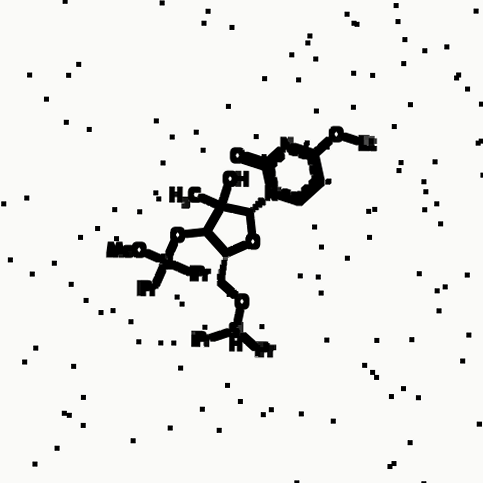 CCOc1ccn([C@@H]2O[C@H](CO[SiH](C(C)C)C(C)C)C(O[Si](OC)(C(C)C)C(C)C)C2(C)O)c(=O)n1